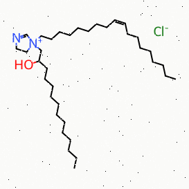 CCCCCCCC/C=C\CCCCCCCC[N+]1(CC(O)CCCCCCCCCCCC)C=NCC1.[Cl-]